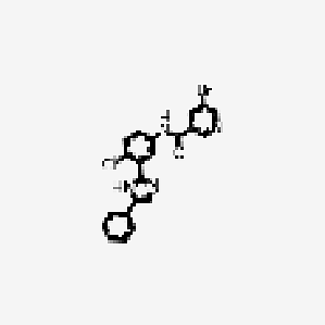 O=C(Nc1ccc(Cl)c(-c2ncc(-c3ccccc3)[nH]2)c1)c1cncc(Br)c1